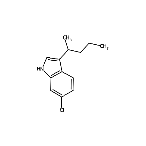 CCCC(C)c1c[nH]c2cc(Cl)ccc12